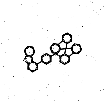 c1ccc2c(c1)-c1ccccc1C21c2ccccc2-c2cccc(Cc3ccc(-c4cccc5oc6ccccc6c45)cc3)c21